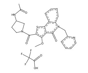 COc1c(C(=O)N2CCC(NC(C)=O)C2)sc2c1c(=O)n(Cc1ccccn1)c1ccccc21.O=C(O)C(F)(F)F